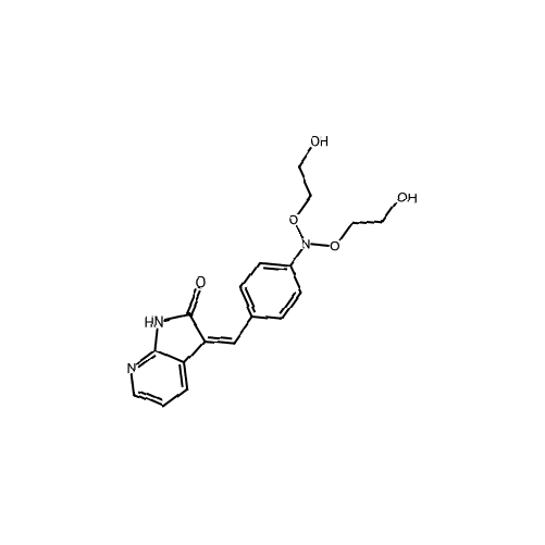 O=C1Nc2ncccc2C1=Cc1ccc(N(OCCO)OCCO)cc1